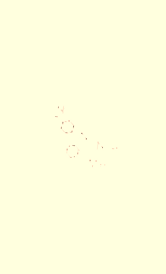 C=CCN1C(C)CCC2C1CCC(C)N2C(c1ccc(C(=O)N(C)C)cc1)c1cccc(OC)c1